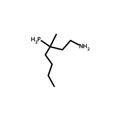 CCCCC(C)(P)CCN